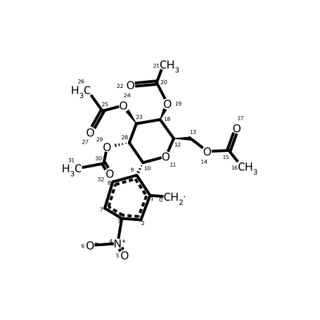 [CH2]c1cc([N+](=O)[O-])ccc1[C@H]1O[C@H](COC(C)=O)[C@H](OC(C)=O)[C@H](OC(C)=O)[C@H]1OC(C)=O